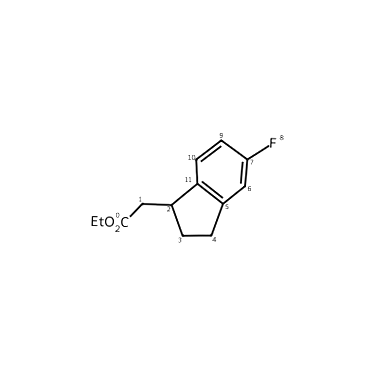 CCOC(=O)CC1CCc2cc(F)ccc21